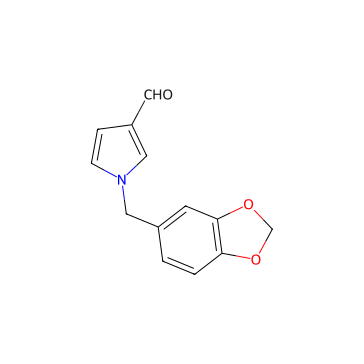 O=Cc1ccn(Cc2ccc3c(c2)OCO3)c1